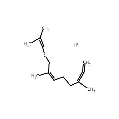 C=C=C(C)CCC=C(C)CCC=C(C)C.[H+]